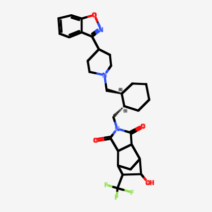 O=C1C2C3CC(C2C(=O)N1C[C@H]1CCCC[C@@H]1CN1CCC(c2noc4ccccc24)CC1)C(C(F)(F)F)C3O